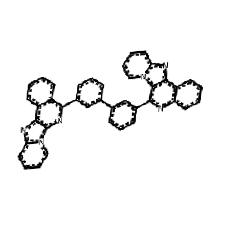 c1cc(-c2cccc(-c3nc4ccccc4c4nc5ccccn5c34)c2)cc(-c2nc3c(nc4ccccn43)c3ccccc23)c1